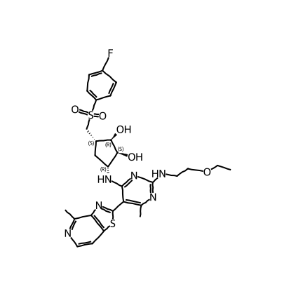 CCOCCNc1nc(C)c(-c2nc3c(C)nccc3s2)c(N[C@@H]2C[C@H](CS(=O)(=O)c3ccc(F)cc3)[C@@H](O)[C@H]2O)n1